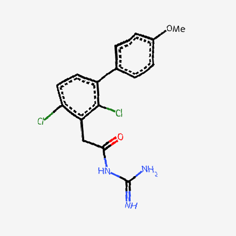 COc1ccc(-c2ccc(Cl)c(CC(=O)NC(=N)N)c2Cl)cc1